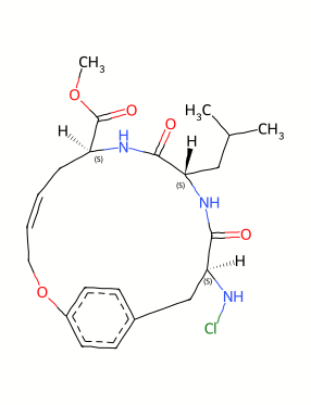 COC(=O)[C@@H]1CC=CCOc2ccc(cc2)C[C@H](NCl)C(=O)N[C@@H](CC(C)C)C(=O)N1